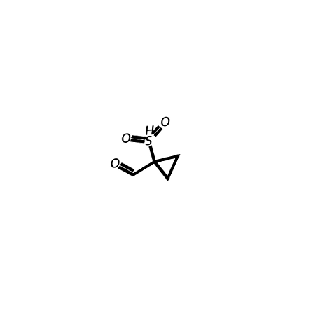 O=CC1([SH](=O)=O)CC1